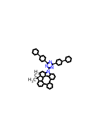 CC1(C)c2cccc3c4ccccc4c4cccc5c4c4c(c1ccc4n5-c1nc(-c4ccc(-c5ccccc5)cc4)nc(-c4ccc(-c5ccccc5)cc4)n1)c23